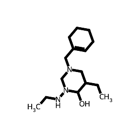 CCNN1CN(CC2=CCCCC2)CC(CC)C1O